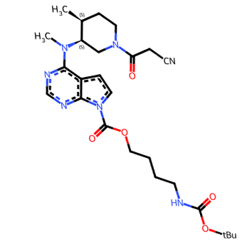 C[C@H]1CCN(C(=O)CC#N)C[C@H]1N(C)c1ncnc2c1ccn2C(=O)OCCCCNC(=O)OC(C)(C)C